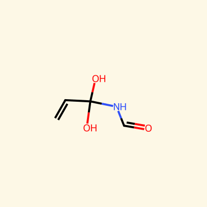 C=CC(O)(O)NC=O